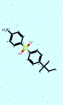 Bc1ccc(S(=O)(=O)c2ccc(C(C)(C)CC)cc2)cc1